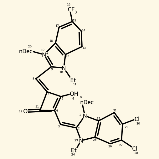 CCCCCCCCCCN1/C(=C\C2=C(O)C(=C\c3n(CC)c4ccc(C(F)(F)F)cc4[n+]3CCCCCCCCCC)/C2=O)N(CC)c2cc(Cl)c(Cl)cc21